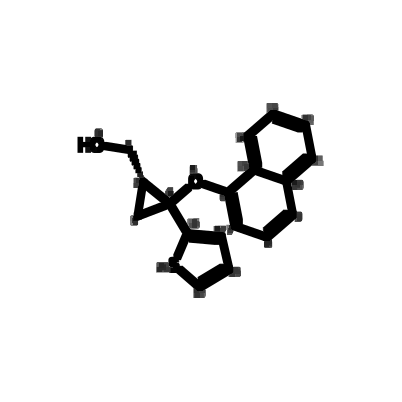 OC[C@H]1CC1(Oc1cccc2ccccc12)c1cccs1